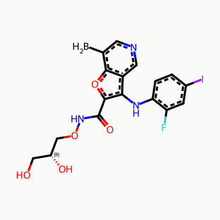 Bc1cncc2c(Nc3ccc(I)cc3F)c(C(=O)NOC[C@H](O)CO)oc12